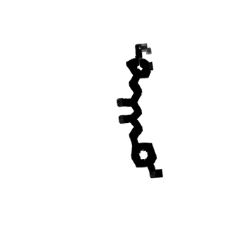 Cn1cc(C=CC(=O)CC(=O)C=Cc2ccc(O)cc2)cn1